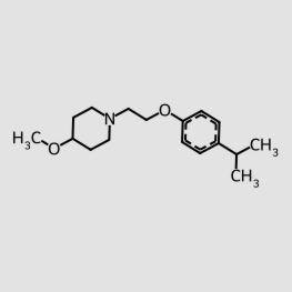 COC1CCN(CCOc2ccc(C(C)C)cc2)CC1